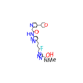 CNC(O)c1cn(CC(F)CCc2ccc(NC(=O)Cc3cc(C4CCOCC4)ccn3)nn2)nn1